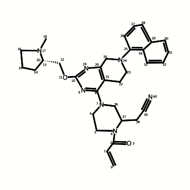 C=CC(=O)N1CCN(c2nc(OC[C@@H]3CCCN3C)nc3c2CCN(c2c[c]cc4ccccc24)C3)CC1CC#N